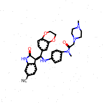 CN1CCN(CC(=O)N(C)c2ccc(NC(=C3C(=O)Nc4cc(C#N)ccc43)c3ccc4c(c3)OCCO4)cc2)CC1